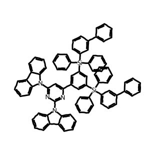 c1ccc(-c2cccc([Si](c3ccccc3)(c3ccccc3)c3cc(-c4cc(-n5c6ccccc6c6ccccc65)nc(-n5c6ccccc6c6ccccc65)n4)cc([Si](c4ccccc4)(c4ccccc4)c4cccc(-c5ccccc5)c4)c3)c2)cc1